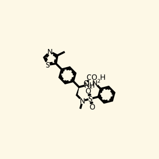 Cc1ncsc1-c1ccc([C@H](CN(C)S(=O)(=O)c2ccccc2[N+](=O)[O-])NC(=O)O)cc1